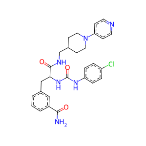 NC(=O)c1cccc(CC(NC(=O)Nc2ccc(Cl)cc2)C(=O)NCC2CCN(c3ccncc3)CC2)c1